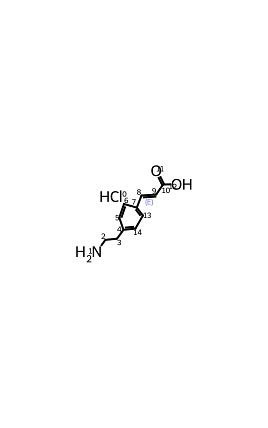 Cl.NCCc1ccc(/C=C/C(=O)O)cc1